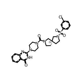 O=C(N1CCN(c2nc3ccccc3c(=O)[nH]2)CC1)N1CC[C@]2(CCN(S(=O)(=O)c3cccc(Cl)c3)C2)C1